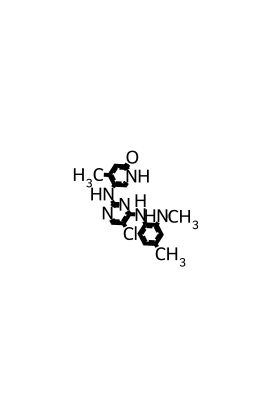 CNc1cc(C)ccc1Nc1nc(Nc2c[nH]c(=O)cc2C)ncc1Cl